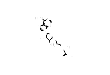 Nc1ncnc2c1ncn2[C@@H]1O[C@H](C[C@@H](N)CC[C@H](N)C(=O)O)C(O)[C@@H]1O